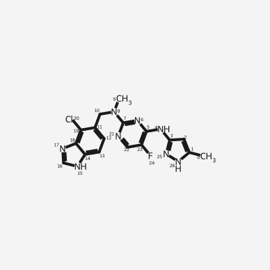 Cc1cc(Nc2nc(N(C)Cc3ccc4[nH]cnc4c3Cl)ncc2F)n[nH]1